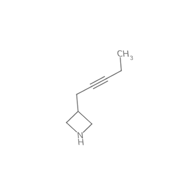 CCC#CCC1CNC1